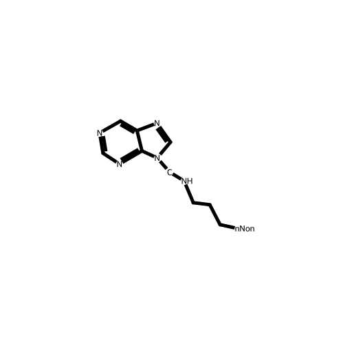 CCCCCCCCCCCCNCn1cnc2cncnc21